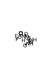 CC1(C)c2[nH]nc(NC=O)c2CN1C(=O)Nc1ccccc1OC(F)F